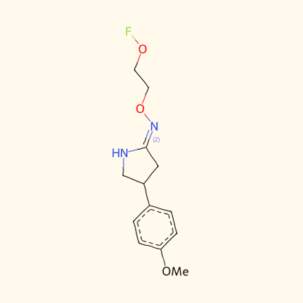 COc1ccc(C2CN/C(=N\OCCOF)C2)cc1